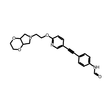 O=CNc1ccc(C#Cc2ccc(OCCN3CC4OCCOC4C3)nc2)cc1